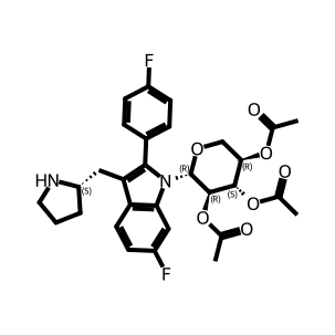 CC(=O)O[C@@H]1[C@@H](OC(C)=O)[C@H](OC(C)=O)CO[C@H]1n1c(-c2ccc(F)cc2)c(C[C@@H]2CCCN2)c2ccc(F)cc21